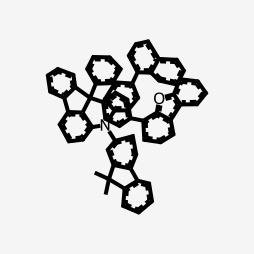 CC1(C)c2ccccc2-c2ccc(N(c3ccc(-c4cccc5ccccc45)cc3)c3cccc4c3C(c3ccccc3)(c3ccc(-c5cccc6c5oc5ccccc56)cc3)c3ccccc3-4)cc21